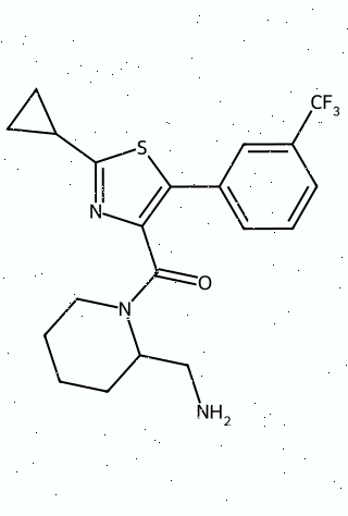 NCC1CCCCN1C(=O)c1nc(C2CC2)sc1-c1cccc(C(F)(F)F)c1